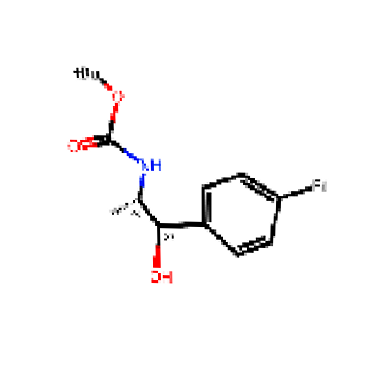 CCc1ccc([C@@H](O)[C@H](C)NC(=O)OC(C)(C)C)cc1